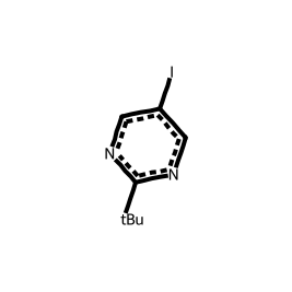 CC(C)(C)c1ncc(I)cn1